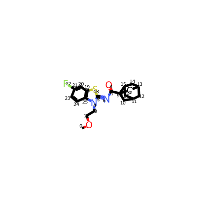 COCCn1/c(=N/C(=O)C23CC4CC(CC2C4)C3)sc2cc(F)ccc21